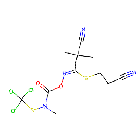 CN(SC(Cl)(Cl)Cl)C(=O)ON=C(SCCC#N)C(C)(C)C#N